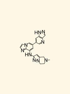 CN1CCn2nc(Nc3cc(-c4cnc5cn[nH]c5c4)cn4ccnc34)cc2C1